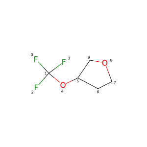 FC(F)(F)OC1C[CH]OC1